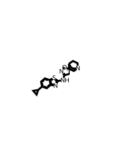 c1cc2sc(NC3=NO[C@@]4(C3)CN3CCC4CC3)nc2cc1C1CC1